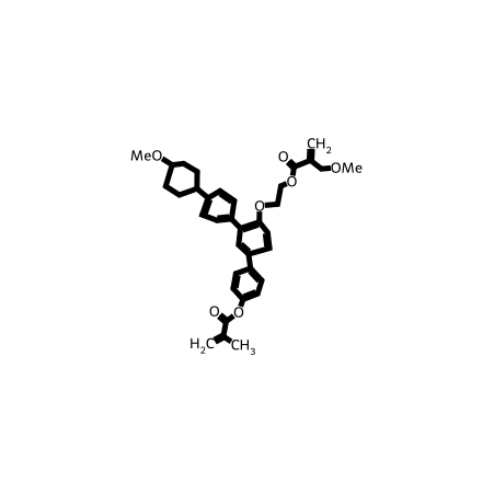 C=C(C)C(=O)Oc1ccc(-c2ccc(OCCOC(=O)C(=C)COC)c(-c3ccc(C4CCC(OC)CC4)cc3)c2)cc1